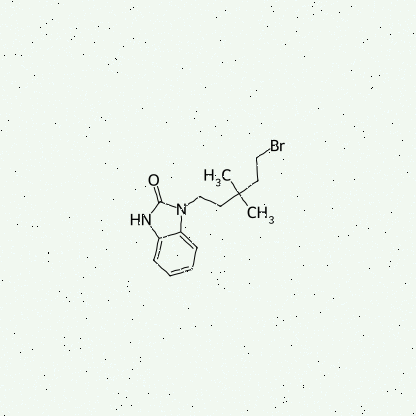 CC(C)(CCBr)CCn1c(=O)[nH]c2ccccc21